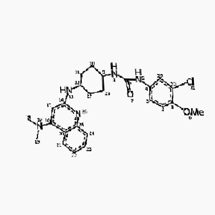 COc1ccc(NC(=O)NC2CCC(Nc3cc(N(C)C)c4ccccc4n3)CC2)cc1Cl